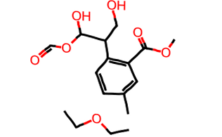 CCOCC.COC(=O)c1cc(C)ccc1C(CO)C(O)OC=O